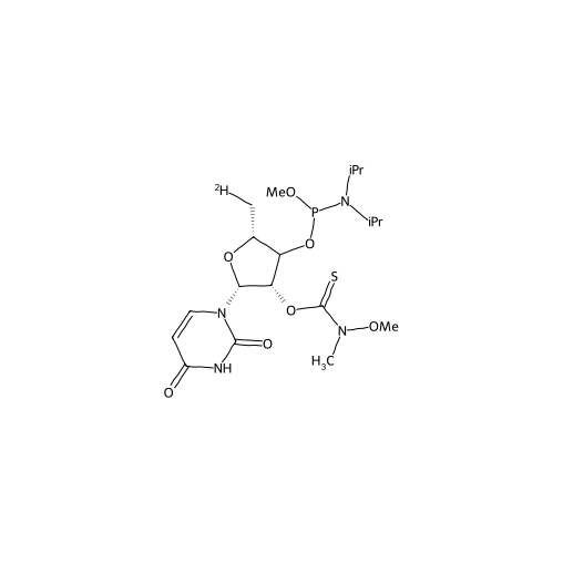 [2H]C[C@H]1O[C@@H](n2ccc(=O)[nH]c2=O)[C@@H](OC(=S)N(C)OC)C1OP(OC)N(C(C)C)C(C)C